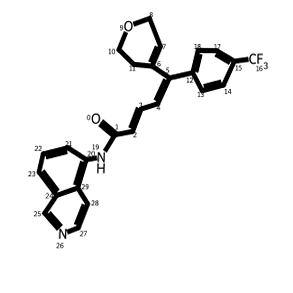 O=C(/C=C/C=C(\C1=CCOCC1)c1ccc(C(F)(F)F)cc1)Nc1cccc2cnccc12